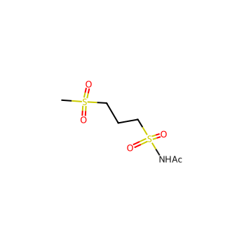 CC(=O)NS(=O)(=O)CCCS(C)(=O)=O